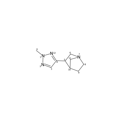 Cn1ncc(C2CN3CCC2C3)n1